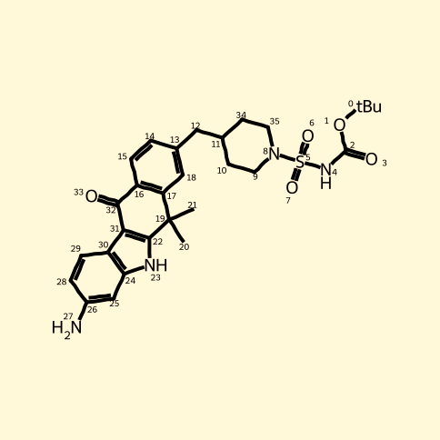 CC(C)(C)OC(=O)NS(=O)(=O)N1CCC(Cc2ccc3c(c2)C(C)(C)c2[nH]c4cc(N)ccc4c2C3=O)CC1